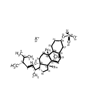 CC(C)[C@@H](C)/C=C/[C@@H](C)[C@H]1CC[C@H]2C3=CC=C4C[C@@H](OS(=O)(=O)[O-])CC[C@]4(C)[C@H]3CC[C@]12C.[K+]